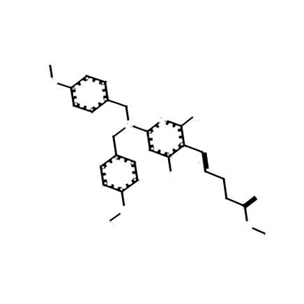 COC(=O)CC/C=C/c1c(Br)cc(N(Cc2ccc(OC)cc2)Cc2ccc(OC)cc2)nc1Cl